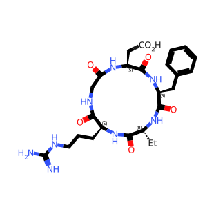 CC[C@H]1NC(=O)[C@H](Cc2ccccc2)NC(=O)[C@H](CC(=O)O)NC(=O)CNC(=O)[C@H](CCCNC(=N)N)NC1=O